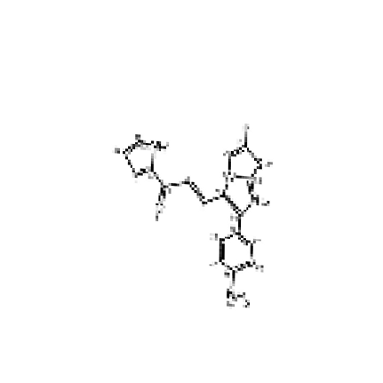 Cc1cn2c(/C=C/C(=O)c3ccc[nH]3)c(-c3ccc(N)cc3)nc2s1